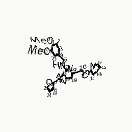 COc1ccc(CNc2nc(COc3ccccn3)cc3nc(-c4ccco4)nn23)cc1OC